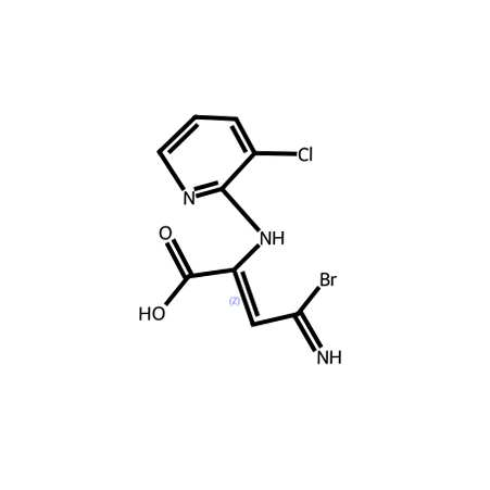 N=C(Br)/C=C(\Nc1ncccc1Cl)C(=O)O